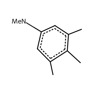 CNc1cc(C)c(C)c(C)c1